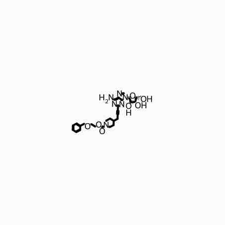 Nc1nc(C#CCC2CCN(C(=O)OCCOCc3ccccc3)CC2)nc2c1ncn2[C@@H]1O[C@H](CO)C(O)[C@@H]1O